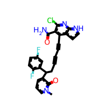 Cn1cccc(C(CC#CC#Cc2c(C(N)=O)c(Cl)nc3[nH]ccc23)c2cc(F)ccc2F)c1=O